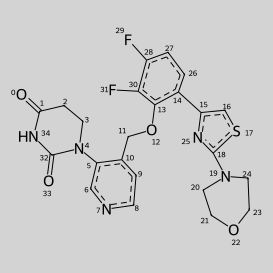 O=C1CCN(c2cnccc2COc2c(-c3csc(N4CCOCC4)n3)ccc(F)c2F)C(=O)N1